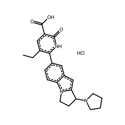 CCc1cc(C(=O)O)c(=O)[nH]c1-c1ccc2c(c1)cc1n2CCC1N1CCCC1.Cl